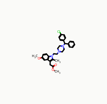 COC(=O)Cc1c(C)n(CCN2CCN(C(c3ccccc3)c3ccc(Cl)cc3)CC2)c2ccc(OC)cc12